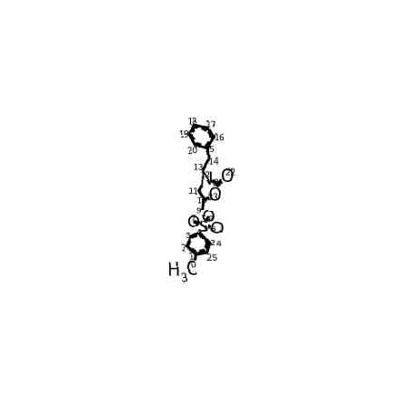 Cc1ccc(S(=O)(=O)OCC2CN(CCc3ccccc3)C(=O)O2)cc1